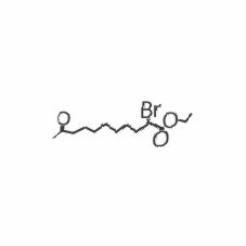 CCOC(=O)C(Br)CCCCCCCC(C)=O